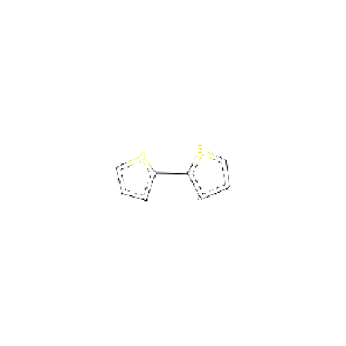 [c]1ccsc1-c1cccs1